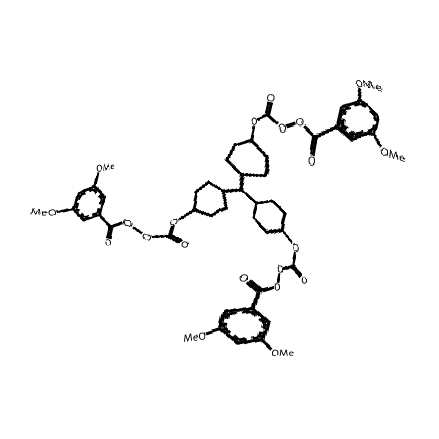 COc1cc(OC)cc(C(=O)OOC(=O)OC2CCC(C(C3CCC(OC(=O)OOC(=O)c4cc(OC)cc(OC)c4)CC3)C3CCC(OC(=O)OOC(=O)c4cc(OC)cc(OC)c4)CC3)CC2)c1